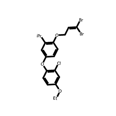 CCOc1ccc(Oc2ccc(OCC=C(Br)Br)c(C(C)C)c2)c(Cl)c1